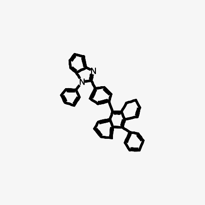 C1=Cc2c(c(-c3ccc(-c4nc5ccccc5n4-c4ccccc4)cc3)c3ccccc3c2-c2ccccc2)CC1